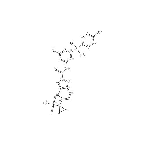 CC(C)(c1ccc(Cl)cc1)c1cc(Cl)cc(NC(=O)c2cc3cc(C4(S(C)(=O)=O)CC4)ccc3s2)c1